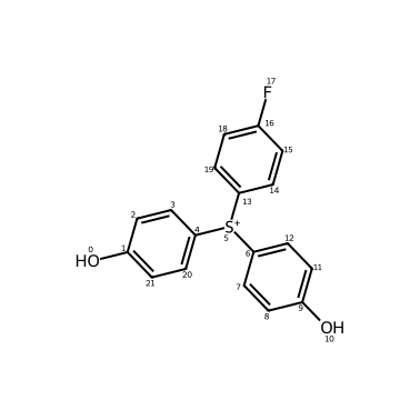 Oc1ccc([S+](c2ccc(O)cc2)c2ccc(F)cc2)cc1